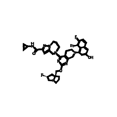 CCc1c(F)ccc2cc(O)cc(N3CCc4c(nc(OC[C@@]56CCCN5C[C@H](F)C6)nc4N4CCCn5nc(C(=O)NC6CC6)cc5C4)C3)c12